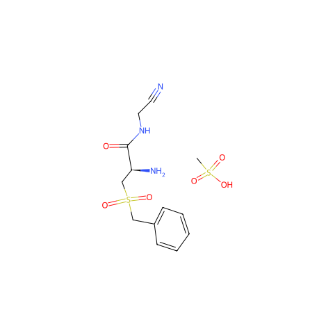 CS(=O)(=O)O.N#CCNC(=O)[C@@H](N)CS(=O)(=O)Cc1ccccc1